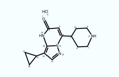 Cl.O=c1cc(C2CCNCC2)n2ncc(C3CC3)c2[nH]1